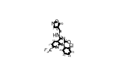 O=c1nc(NCc2cnoc2)c2ccc(C(F)(F)F)nc2n1-c1ccccc1Cl